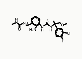 CNC(=O)NCc1cccc(NC(=S)NC(C)(COC)c2ccc(F)c(Cl)c2)c1N